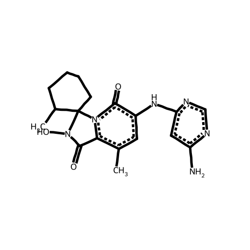 Cc1cc(Nc2cc(N)ncn2)c(=O)n2c1C(=O)N(O)C21CCCCC1C